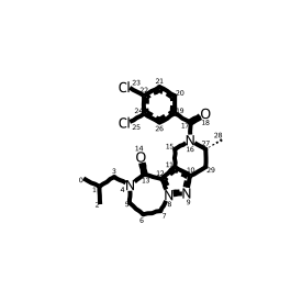 CC(C)CN1CCCn2nc3c(c2C1=O)CN(C(=O)c1ccc(Cl)c(Cl)c1)[C@H](C)C3